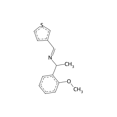 COc1ccccc1C(C)N=Cc1ccsc1